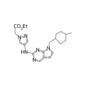 CCOC(=O)Cn1cc(Nc2ncc3ccn(CC4CCC(C)CC4)c3n2)cn1